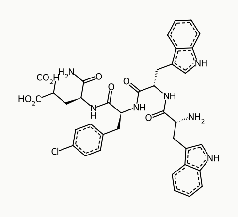 NC(=O)[C@H](CC(C(=O)O)C(=O)O)NC(=O)[C@H](Cc1ccc(Cl)cc1)NC(=O)[C@H](Cc1c[nH]c2ccccc12)NC(=O)[C@H](N)Cc1c[nH]c2ccccc12